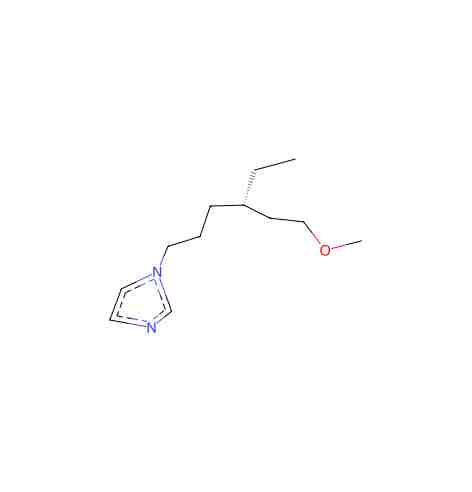 CC[C@@H](CCCn1ccnc1)CCOC